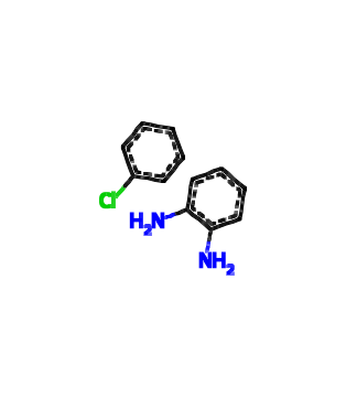 Clc1ccccc1.Nc1ccccc1N